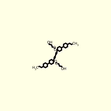 CCCC1CCC(C2CCC(C#CC#CC3(OOCCCO)CCC(C4CCC(CCC)CC4)CC3)(OOCCCO)CC2)CC1